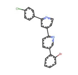 Clc1ccc(-c2cc(-c3ccc(-c4ccccc4Br)cn3)ccn2)cc1